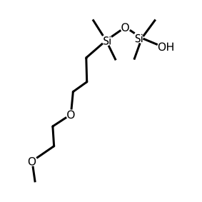 COCCOCCC[Si](C)(C)O[Si](C)(C)O